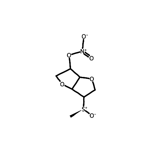 C[S@+]([O-])C1COC2C(O[N+](=O)[O-])COC21